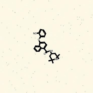 CC1(C)CC(NC(=O)c2ccc(Oc3ccccc3C#N)c3ccccc23)CC(C)(C)N1